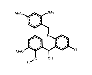 CCOc1c(OC)cccc1C(O)c1cc(Cl)ccc1NCc1ccc(OC)cc1OC